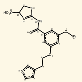 CC(C)Oc1cc(OCCc2ccsc2)cc(C(=O)NC2=NC(C(=O)O)CS2)c1